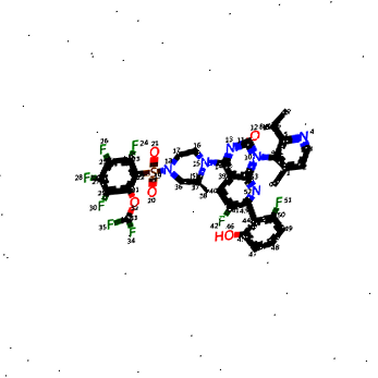 Cc1ccnc(C(C)C)c1-n1c(=O)nc(N2CCN(S(=O)(=O)c3c(F)c(F)c(F)c(F)c3OC(F)F)C[C@@H]2C)c2cc(F)c(-c3c(O)cccc3F)nc21